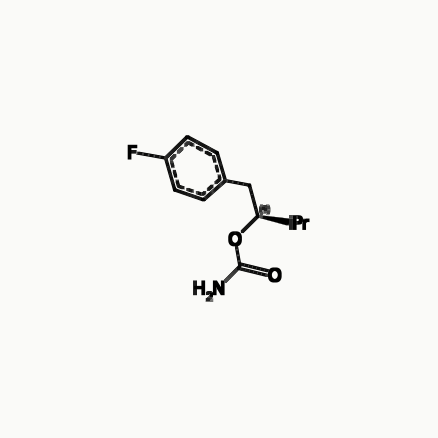 CC(C)[C@H](Cc1ccc(F)cc1)OC(N)=O